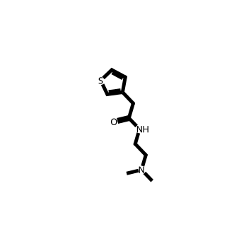 CN(C)CCNC(=O)Cc1ccsc1